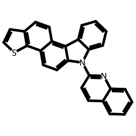 c1ccc2nc(-n3c4ccccc4c4c5ccc6ccsc6c5ccc43)ccc2c1